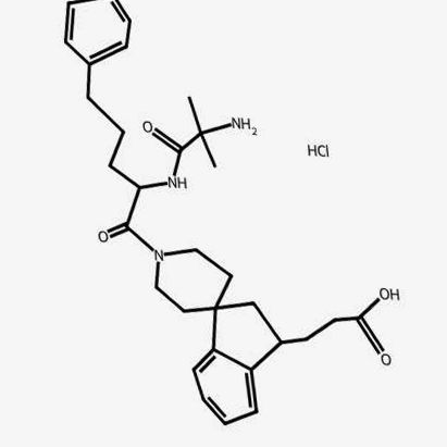 CC(C)(N)C(=O)NC(CCCc1ccccc1)C(=O)N1CCC2(CC1)CC(CCC(=O)O)c1ccccc12.Cl